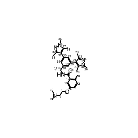 Cc1ccc(OCCN(C)C)cc1C(=O)N[C@H](C)c1cc(-c2c(C)nn(C)c2C)cc(-c2c(C)nn(C)c2C)c1